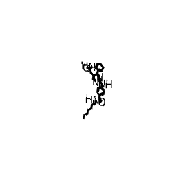 CCCCCCCNC(=O)c1ccc(Nc2ncc3c(n2)-c2ccccc2NC(=O)C3)cc1